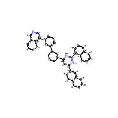 c1cc(-c2cccc(-c3cncc4ccccc34)c2)cc(-c2cc(-c3ccc4ccccc4c3)nc(-c3cccc4ccccc34)n2)c1